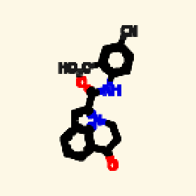 N#Cc1ccc(NC(=O)c2cc3cccc4c3n2CCC4=O)c(C(=O)O)c1